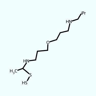 CC(C)CNCCCOCCCNC(C)SS